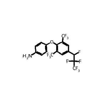 Nc1ccc(Oc2c(C(F)(F)F)cc(C(F)C(F)(F)C(F)(F)F)cc2C(F)(F)F)cc1